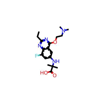 CCc1nc(OCCN(C)C)c2cc(NC(C)(C)C(=O)O)cc(F)c2n1